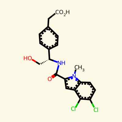 Cn1c(C(=O)N[C@H](CO)c2ccc(CC(=O)O)cc2)cc2c(Cl)c(Cl)ccc21